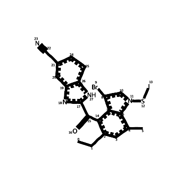 CCc1cc(C)c2c(c(Br)cn2SI)c1C(=O)c1nc2cc(C#N)ccc2[nH]1